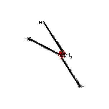 C#CC#CC#CC#CC#CC#CC#CC#CC#CC#CC#CC#CC#CC#COC(=O)CC(CC(=O)OC#CC#CC#CC#CC#CC#CC#CC#CC#CC#CC#CC#CC#CC#C)(OC(C)=O)C(=O)OC#CC#CC#CC#CC#CC#CC#CC#CC#CC#CC#CC#CC#CC#C